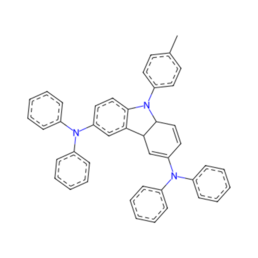 Cc1ccc(N2c3ccc(N(c4ccccc4)c4ccccc4)cc3C3C=C(N(c4ccccc4)c4ccccc4)C=CC32)cc1